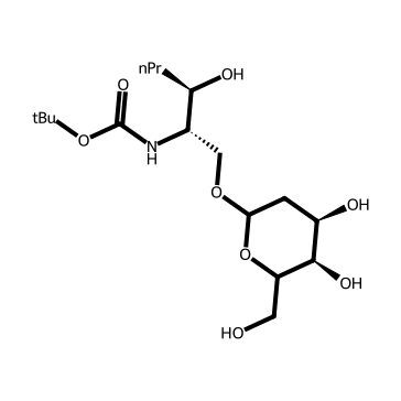 CCC[C@@H](O)[C@H](COC1C[C@@H](O)[C@@H](O)C(CO)O1)NC(=O)OC(C)(C)C